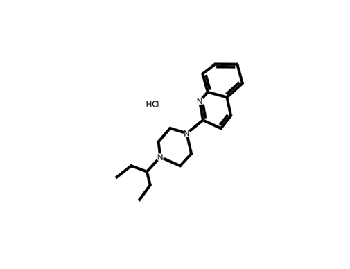 CCC(CC)N1CCN(c2ccc3ccccc3n2)CC1.Cl